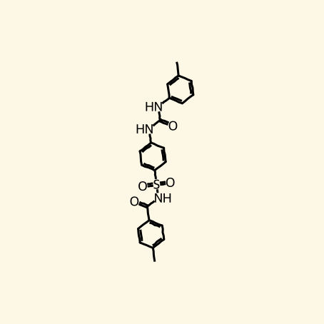 Cc1ccc(C(=O)NS(=O)(=O)c2ccc(NC(=O)Nc3cccc(C)c3)cc2)cc1